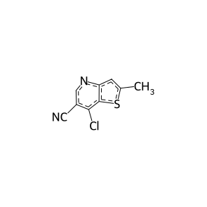 Cc1cc2ncc(C#N)c(Cl)c2s1